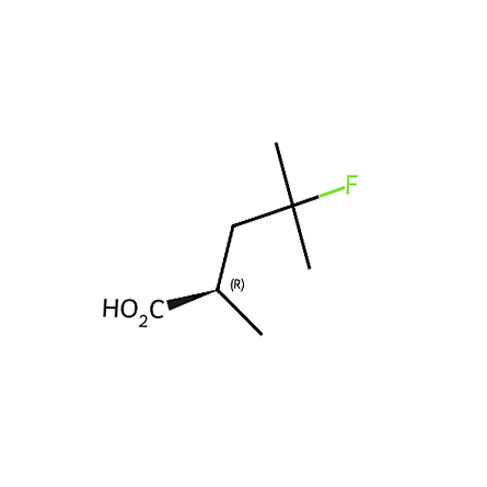 C[C@H](CC(C)(C)F)C(=O)O